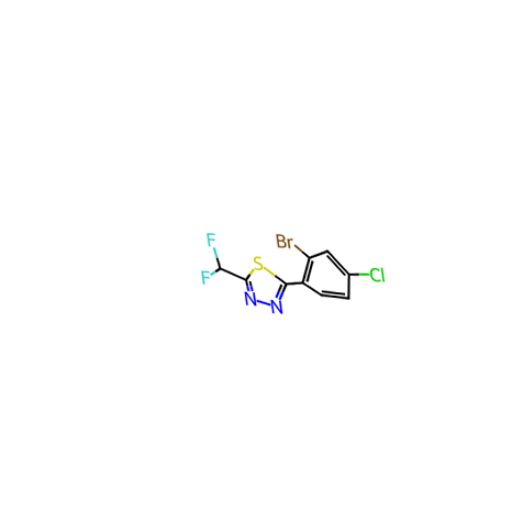 FC(F)c1nnc(-c2ccc(Cl)cc2Br)s1